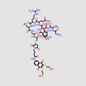 CC(C)CC(NC(=O)C(CCCNC(=N)N)NC(=O)C(CCC(N)=O)NC(=O)C(Cc1ccc(O)cc1)NC(=O)C(CC(=O)O)NC(=O)C(CO)NC(=O)C(C)NC(=O)CN)C(=O)NCC(=O)NC(CSC1CC(=O)N(CCCC(=O)Nc2ccc3c(c2)C(=O)C(SCCO)=C(SCCO)C3=O)C1=O)C(=O)O